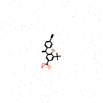 C#Cc1ccc(C(=C)c2cc(C(=O)OC)cc(C(C)(C)C)c2Br)cc1